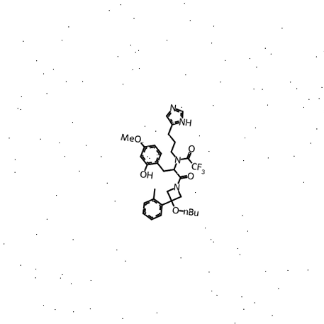 CCCCOC1(c2ccccc2C)CN(C(=O)C(Cc2ccc(OC)cc2O)N(CCCc2cnc[nH]2)C(=O)C(F)(F)F)C1